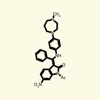 CC(=O)N1C(=O)/C(=C(\Nc2ccc(N3CCCN(C)CC3)cc2)c2ccccc2)c2ccc([N+](=O)[O-])cc21